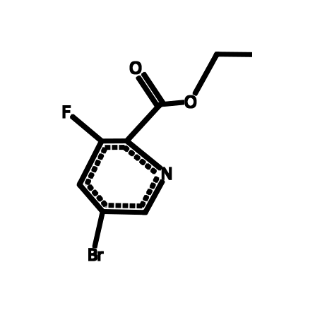 CCOC(=O)c1ncc(Br)cc1F